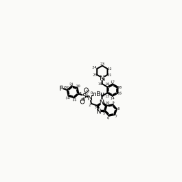 CCCCN(Cc1nc2ccccc2n1Cc1ccccc1CN1CCCCC1)S(=O)(=O)c1ccc(F)cc1